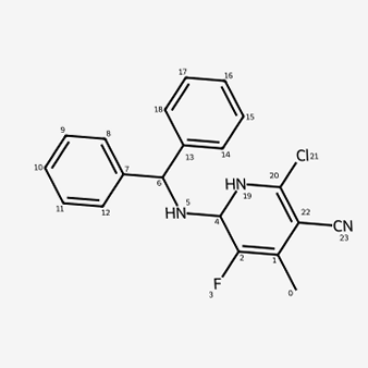 CC1=C(F)C(NC(c2ccccc2)c2ccccc2)NC(Cl)=C1C#N